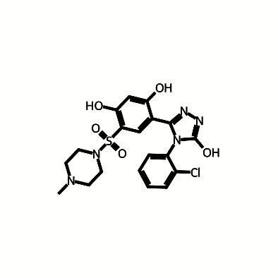 CN1CCN(S(=O)(=O)c2cc(-c3nnc(O)n3-c3ccccc3Cl)c(O)cc2O)CC1